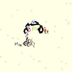 CCOc1ccc(F)c(-c2ccnc(C3=NC4(CCCN(COCC[Si](C)(C)C)C4=O)CC3)c2)c1